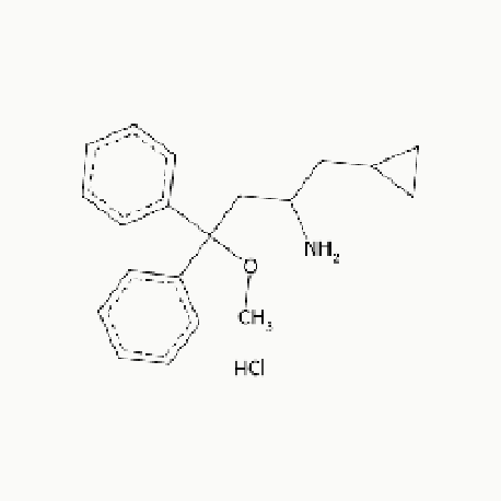 COC(CC(N)CC1CC1)(c1ccccc1)c1ccccc1.Cl